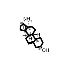 C[C@]12CC[C@H]3[C@@H](CC=C4C[C@H](O)CC[C@@H]43)[C@@H]1CC[C@@H]2N